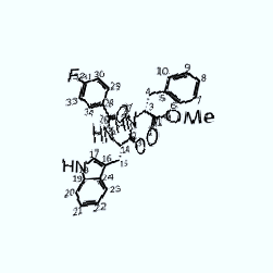 COC(=O)[C@@H](Cc1ccccc1)NC(=O)[C@H](Cc1c[nH]c2ccccc12)NC(=O)c1ccc(F)cc1